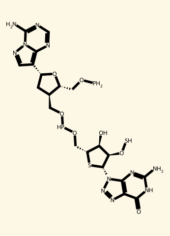 Nc1nc2c(nnn2[C@@H]2S[C@H](COPOC[C@H]3C[C@H](c4cnn5c(N)ncnc45)O[C@@H]3COP)[C@@H](O)[C@H]2OS)c(=O)[nH]1